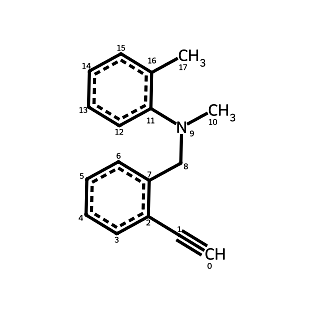 C#Cc1ccccc1CN(C)c1ccccc1C